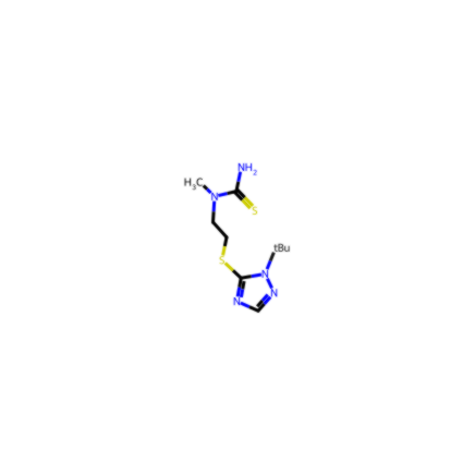 CN(CCSc1ncnn1C(C)(C)C)C(N)=S